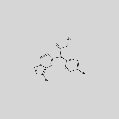 CC(C)c1ccc(N(C(=O)CC(C)(C)C)c2ccn3ncc(Br)c3n2)cc1